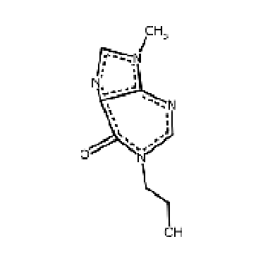 Cn1cnc2c(=O)n(CCO)cnc21